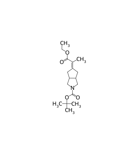 CCOC(=O)C(C)=C1CC2CN(C(=O)OC(C)(C)C)CC2C1